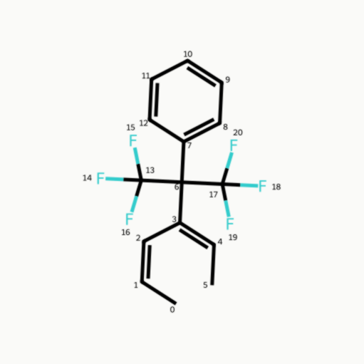 C/C=C\C(=C/C)C(c1ccccc1)(C(F)(F)F)C(F)(F)F